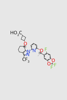 C[C@H](Oc1cccc(-n2nc(C(F)(F)F)c3c2[C@H](OC2CC(C(=O)O)C2)CCC3)n1)c1cc2c(cc1F)OC(F)(F)O2